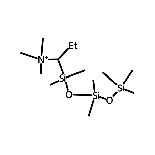 CCC([N+](C)(C)C)[Si](C)(C)O[Si](C)(C)O[Si](C)(C)C